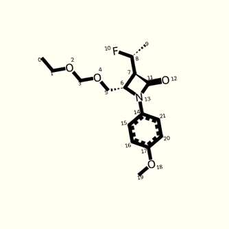 CCOCOC[C@@H]1[C@@H]([C@@H](C)F)C(=O)N1c1ccc(OC)cc1